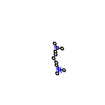 c1ccc(-c2cc(-c3ccccc3)nc(-c3ccc4cc(-c5cccc(-c6ccc7cc(-c8nc(-c9ccccc9)nc(-c9ccccc9)n8)ccc7c6)c5)ccc4c3)c2)cc1